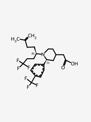 C=C(C)CC[C@H](CCC(F)(F)F)N1CCC(CC(=O)O)C[C@H]1c1ccc(C(F)(F)F)cc1